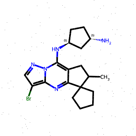 CC1Cc2c(nc3c(Br)cnn3c2N[C@H]2CC[C@H](N)C2)C12CCCC2